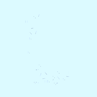 COc1cc(C(=O)NC2CC3(CCN(CC4CCN(c5ccc(C6CCC(=O)NC6O)cc5C)CC4)CC3)C2)ccc1Nc1ncc2c(n1)N(C1CCCC1)CC(F)(F)C(=O)N2C